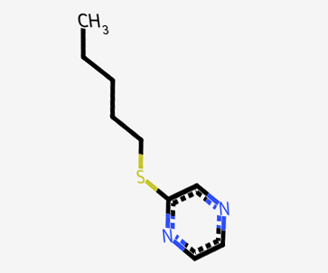 CCCCCSc1cnccn1